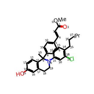 COC(=O)C=Cc1ccc(C2(C)c3ccc(O)cc3CCN2c2ccc(CCC(C)C)c(Cl)c2)cc1